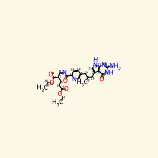 CCOC(=O)CCC(/C=N\C(=O)c1ccc(CC(C)Cc2c[nH]c3nc(N)[nH]c(=O)c23)cn1)C(=O)OCC